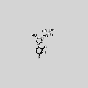 O=c1[nH]c(=S)ccn1[C@@H]1CC(O)[C@H](COP(=O)(O)O)O1